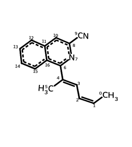 C/C=C\C=C(/C)c1nc(C#N)cc2ccccc12